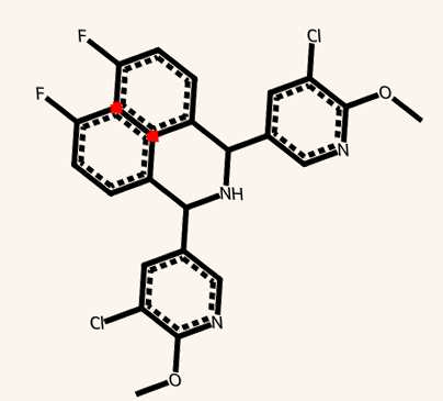 COc1ncc(C(NC(c2ccc(F)cc2)c2cnc(OC)c(Cl)c2)c2ccc(F)cc2)cc1Cl